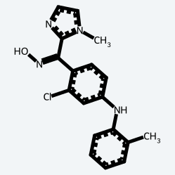 Cc1ccccc1Nc1ccc(C(=NO)c2nccn2C)c(Cl)c1